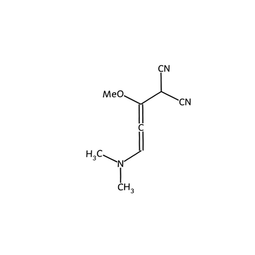 COC(=C=CN(C)C)C(C#N)C#N